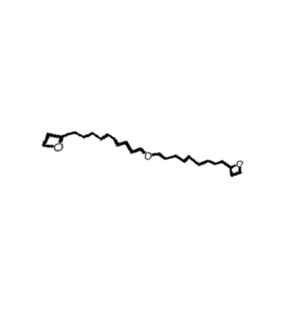 C(CCCCOCCCCCCCCCC1CCO1)CCCCC1CCO1